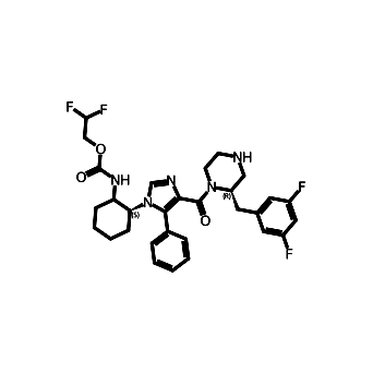 O=C(NC1CCCC[C@@H]1n1cnc(C(=O)N2CCNC[C@H]2Cc2cc(F)cc(F)c2)c1-c1ccccc1)OCC(F)F